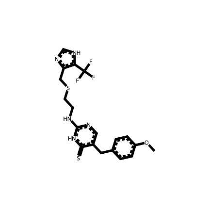 COc1ccc(Cc2cnc(NCCSCc3nc[nH]c3C(F)(F)F)[nH]c2=S)cc1